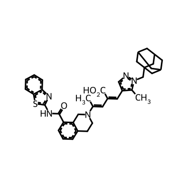 C/C(=C\C(=C\c1cnn(CC23CC4CC(CC(C4)C2)C3)c1C)C(=O)O)N1CCc2cccc(C(=O)Nc3nc4ccccc4s3)c2C1